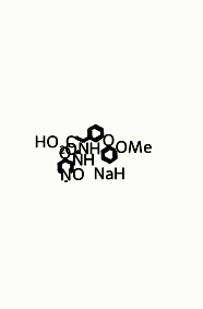 COc1ccccc1Oc1cccc(C(CC(=O)O)NC(=O)NC2C(=O)C=CN(C)C2=O)c1.[NaH]